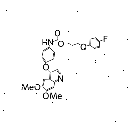 COc1cc2nccc(Oc3ccc(NC(=O)OCCCOc4ccc(F)cc4)cc3)c2cc1OC